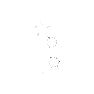 COc1cc(Oc2cccc(N3C(=O)NC(C)(C)C3=O)n2)ccc1C